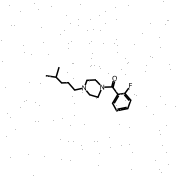 CC(C)CCCN1CCN(C(=O)c2ccccc2F)CC1